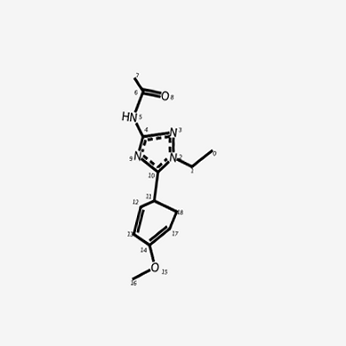 CCn1nc(NC(C)=O)nc1C1C=CC(OC)=CC1